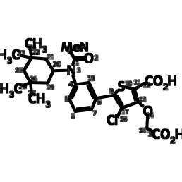 CNC(=O)N(c1cccc(-c2sc(C(=O)O)c(OCC(=O)O)c2Cl)c1)C1CC(C)(C)CC(C)(C)C1